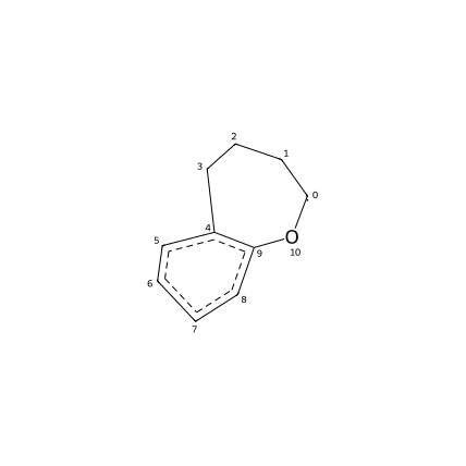 [CH]1CCCc2ccccc2O1